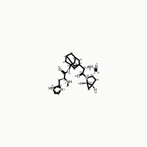 CN[C@@H](Cc1ncc[nH]1)C(=O)OC12CC3CC(C1)CC([C@H](N)C(=O)N1[C@H](C#N)C[C@@H]4C[C@@H]41)(C3)C2